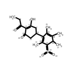 CCC(=O)C1=C(O)CC(C2=C(C)C(=S(=O)=O)C(C)C(C)=C2C)CC1=O